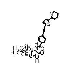 C[C@@H](O[Si](C)(C)C(C)(C)C)[C@H](NC(=O)c1ccc(C#Cc2ccc(-c3ccccn3)s2)cc1)C(=O)O